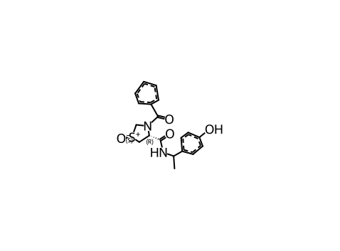 CC(NC(=O)[C@@H]1C[S@@+]([O-])CN1C(=O)c1ccccc1)c1ccc(O)cc1